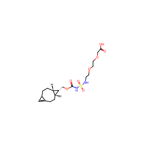 O=C(O)COCCOCCNS(=O)(=O)NC(=O)OC[C@@H]1[C@@H]2CCC3=CC3CC[C@@H]21